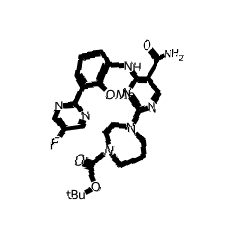 COc1c(Nc2nc(N3CCCN(C(=O)OC(C)(C)C)CC3)ncc2C(N)=O)cccc1-c1ncc(F)cn1